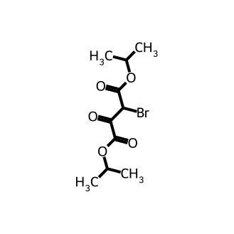 CC(C)OC(=O)C(=O)C(Br)C(=O)OC(C)C